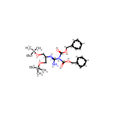 CC(C)(C)[Si](C)(C)OCC(CO[Si](C)(C)C(C)(C)C)/N=C(\N)N(C(=O)OCc1ccccc1)C(=O)OCc1ccccc1